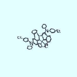 CCc1ccc(N(c2ccccc2)c2ccc3c4c(c5ccccc5c3c2)-c2cc(N(c3ccccc3)c3ccc(CC)cc3)c3ccccc3c2C42c3ccccc3-c3ccccc32)cc1